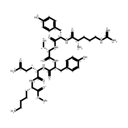 CCCOC(=O)[C@H](CCCCN)NC(=O)[C@H](CCC(N)=O)NC(=O)[C@H](Cc1ccc(O)cc1)NC(=O)[C@H](CS)NC(=O)[C@H](Cc1ccc(O)cc1)NC(=O)[C@@H](N)CCCNC(=N)N